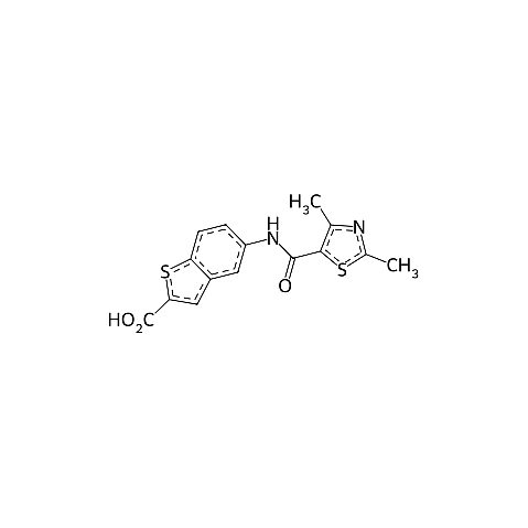 Cc1nc(C)c(C(=O)Nc2ccc3sc(C(=O)O)cc3c2)s1